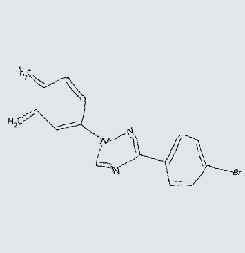 C=C/C=C\C(=C/C=C)n1cnc(-c2ccc(Br)cc2)n1